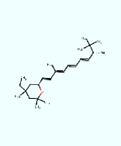 CCC1(C)C[C@@H](/C=C/C(C)=C/C=C/C=C/[C@@H](C)C(C)(C)C)OC(C)(C)C1